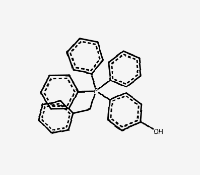 Oc1ccc(P(Cc2ccccc2)(c2ccccc2)(c2ccccc2)c2ccccc2)cc1